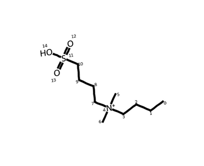 CCCC[N+](C)(C)CCCCS(=O)(=O)O